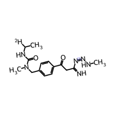 [2H]C(C)NC(=O)N(C)Cc1ccc(C(=O)CC(=N)/N=N\NC)cc1